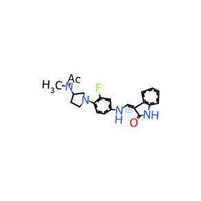 CC(=O)N(C)C1CCN(c2ccc(N/C=C3\C(=O)Nc4ccccc43)cc2F)C1